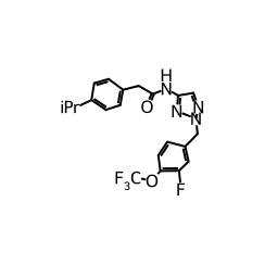 CC(C)c1ccc(CC(=O)Nc2cnn(Cc3ccc(OC(F)(F)F)c(F)c3)n2)cc1